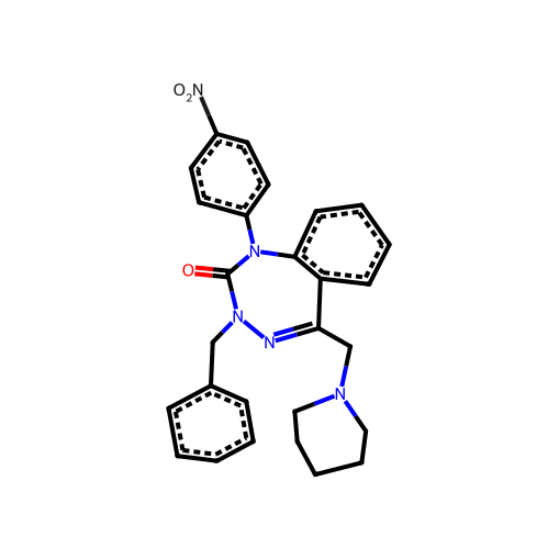 O=C1N(Cc2ccccc2)N=C(CN2CCCCC2)c2ccccc2N1c1ccc([N+](=O)[O-])cc1